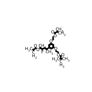 C=C(C)C(=O)OCCOc1cc(OCCOC(=O)C(C)(C)C)cc(/C(C)=C/C(F)=C(\C)OC(=O)C(=C)C)c1